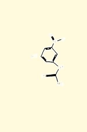 Cl.N=C(N)Nc1cccc([N+](=O)[O-])c1